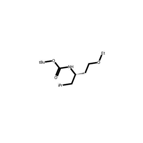 CCOCC[C@H](CC(C)C)NC(=O)OC(C)(C)C